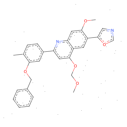 COCOc1cc(-c2ccc(C)c(OCc3ccccc3)c2)nc2cc(OC)c(-c3cnco3)cc12